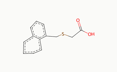 O=C(O)CSCc1cccc2ccccc12